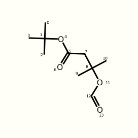 CC(C)(C)OC(=O)CC(C)(C)OC=O